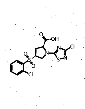 O=C(O)[C@@H]1C[C@@H](S(=O)(=O)c2ccccc2Cl)CN1c1nc(Cl)ns1